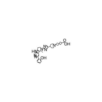 C[C@H]1c2c([nH]c3nnc(-c4ccccc4O)cc23)CCN1c1ncc(C2CCN(C3CC4(CC(C(=O)O)C4)C3)CC2)cn1